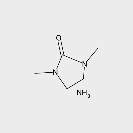 CN1CCN(C)C1=O.N